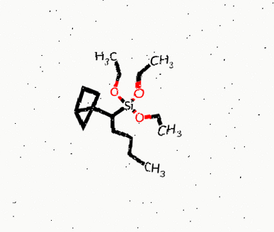 CCCCC(C12CCC1C2)[Si](OCC)(OCC)OCC